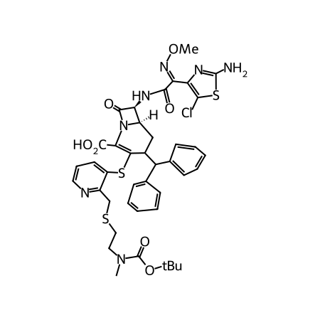 CON=C(C(=O)N[C@@H]1C(=O)N2C(C(=O)O)=C(Sc3cccnc3CSCCN(C)C(=O)OC(C)(C)C)C(C(c3ccccc3)c3ccccc3)C[C@H]12)c1nc(N)sc1Cl